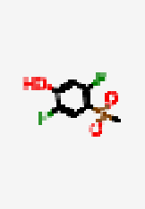 CS(=O)(=O)c1cc(F)c(O)cc1F